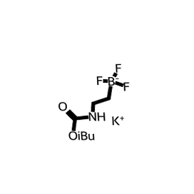 CC(C)COC(=O)NCC[B-](F)(F)F.[K+]